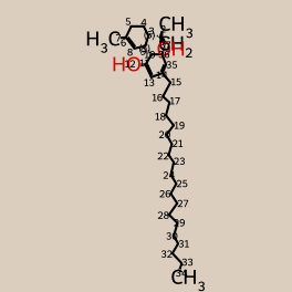 C=C(C)[C@H]1CCC(C)=C[C@H]1C1C(O)=CC(CCCCCCCCCCCCCCCCCCCC)=CC1O